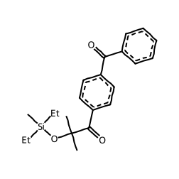 CC[Si](C)(CC)OC(C)(C)C(=O)c1ccc(C(=O)c2ccccc2)cc1